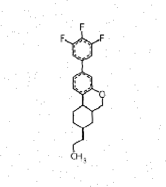 CCCC1CCC2c3ccc(-c4cc(F)c(F)c(F)c4)cc3OCC2C1